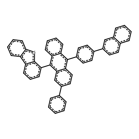 c1ccc(-c2ccc3c(-c4ccc(-c5ccc6ccccc6c5)cc4)c4ccccc4c(-c4cccc5c4sc4ccccc45)c3c2)cc1